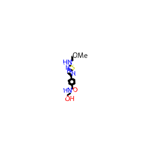 COCCNc1nn2cc(-c3ccc(C(=O)NCCO)cc3)nc2s1